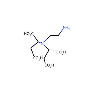 NCCN(C(CC(=O)O)C(=O)O)[C@@H](CC(=O)O)C(=O)O